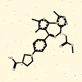 COC(=O)C[C@@H]1N=C(c2ccc(N3CC[C@@H](C(=O)O)C3)cc2)c2c(sc(C)c2C)-n2c(C)nnc21